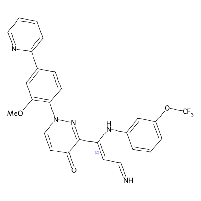 COc1cc(-c2ccccn2)ccc1-n1ccc(=O)c(/C(=C/C=N)Nc2cccc(OC(F)(F)F)c2)n1